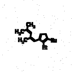 CCC1=[C]([Ru])CC=C1C=C(C)C=C(C)C